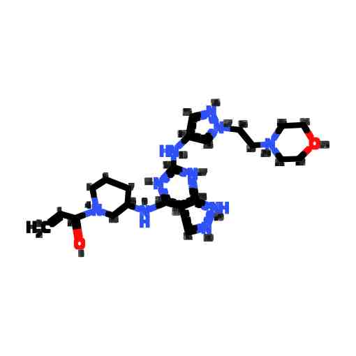 C=CC(=O)N1CCCC(Nc2nc(Nc3cnn(CCN4CCOCC4)c3)nc3[nH]ncc23)C1